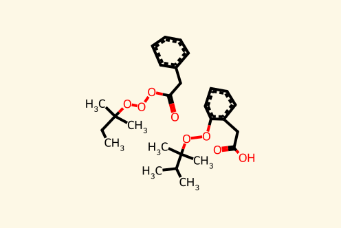 CC(C)C(C)(C)OOc1ccccc1CC(=O)O.CCC(C)(C)OOOC(=O)Cc1ccccc1